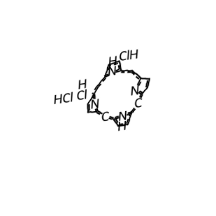 C1=Cc2cc3ccc(cc4nc(cc5ccc(cc1n2)[nH]5)C=C4)[nH]3.Cl.Cl.Cl